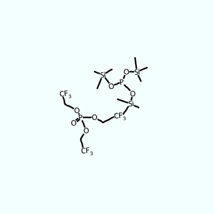 C[Si](C)(C)OP(O[Si](C)(C)C)O[Si](C)(C)C.O=P(OCC(F)(F)F)(OCC(F)(F)F)OCC(F)(F)F